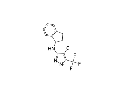 FC(F)(F)C1=C(Cl)C(NC2CCc3ccccc32)=N[N]1